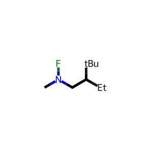 CCC(CN(C)F)C(C)(C)C